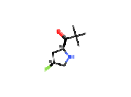 CC(C)(C)C(=O)[C@@H]1C[C@H](F)CN1